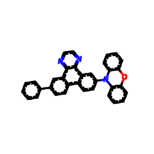 c1ccc(-c2ccc3c4ccc(N5c6ccccc6Oc6ccccc65)cc4c4nccnc4c3c2)cc1